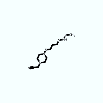 CSNSCCCSN1CCN(CC#N)CC1